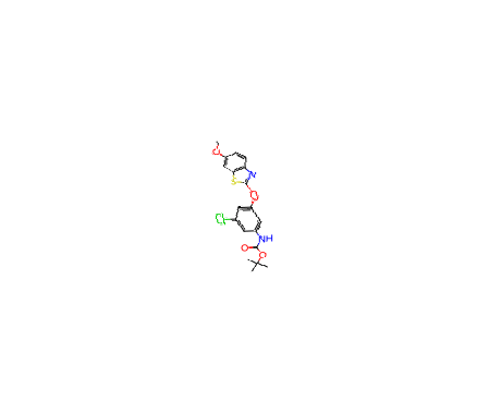 COc1ccc2nc(Oc3cc(Cl)cc(NC(=O)OC(C)(C)C)c3)sc2c1